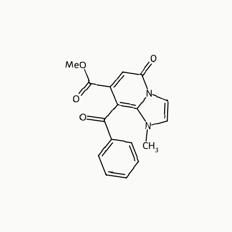 COC(=O)c1cc(=O)n2ccn(C)c2c1C(=O)c1ccccc1